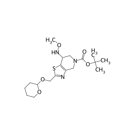 CONC1CN(C(=O)OC(C)(C)C)Cc2nc(COC3CCCCO3)sc21